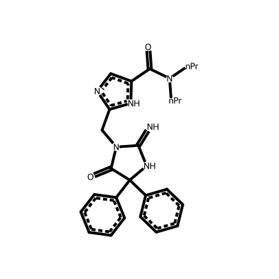 CCCN(CCC)C(=O)c1cnc(CN2C(=N)NC(c3ccccc3)(c3ccccc3)C2=O)[nH]1